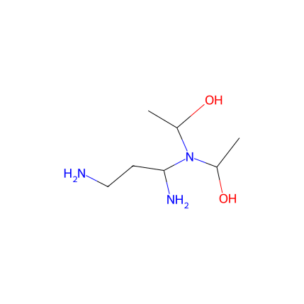 CC(O)N(C(C)O)C(N)CCN